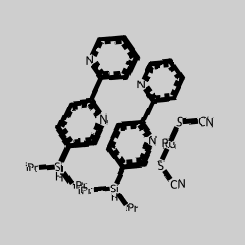 CC(C)[SiH](c1ccc(-c2ccccn2)nc1)C(C)C.CC(C)[SiH](c1ccc(-c2ccccn2)nc1)C(C)C.N#C[S][Ru][S]C#N